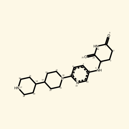 O=C1CCC(Nc2ccc(N3CCC(C4CCNCC4)CC3)nc2)C(=O)N1